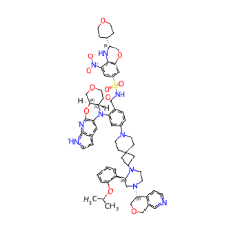 CC(C)Oc1ccccc1[C@@H]1CN([C@H]2COCc3cnccc32)CCN1C1CC2(CCN(c3ccc(C(=O)NS(=O)(=O)c4cc5c(c([N+](=O)[O-])c4)N[C@H](C4CCOCC4)CO5)c(N4c5cc6cc[nH]c6nc5O[C@H]5COCC[C@@H]54)c3)CC2)C1